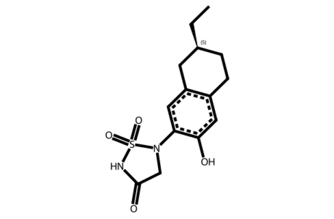 CC[C@H]1CCc2cc(O)c(N3CC(=O)NS3(=O)=O)cc2C1